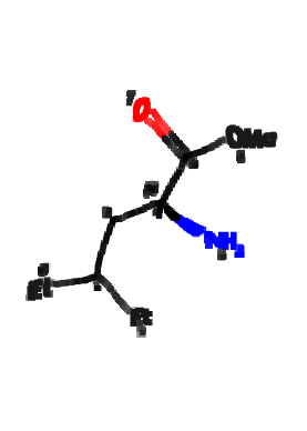 CCC(CC)C[C@H](N)C(=O)OC